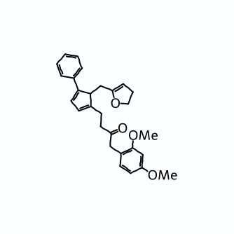 COc1ccc(CC(=O)CCC2=CC=C(c3ccccc3)C2CC2=CCCO2)c(OC)c1